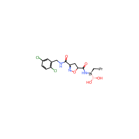 CC(C)C[C@H](NC(=O)C1CC(C(=O)NCc2cc(Cl)ccc2Cl)=NO1)B(O)O